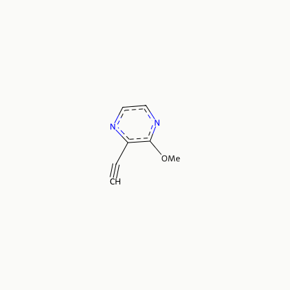 C#Cc1nccnc1OC